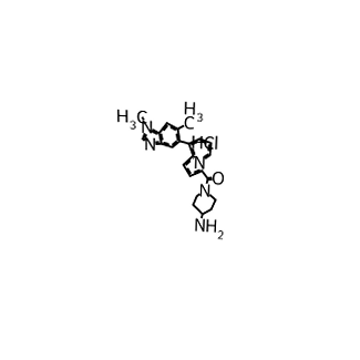 Cc1cc2c(cc1-c1cccn3c(C(=O)N4CCC(N)CC4)ccc13)ncn2C.Cl